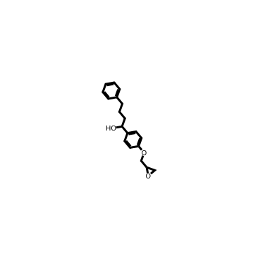 OC(CCCc1ccccc1)c1ccc(OCC2CO2)cc1